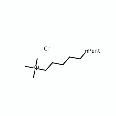 CCCCCCCCCC[N+](C)(C)C.[Cl-]